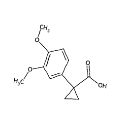 COc1ccc(C2(C(=O)O)CC2)cc1OC